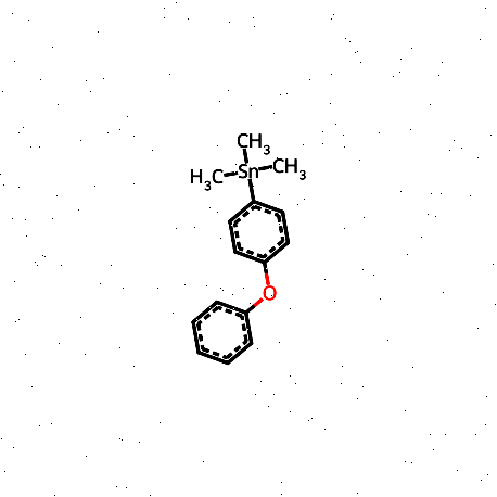 [CH3][Sn]([CH3])([CH3])[c]1ccc(Oc2ccccc2)cc1